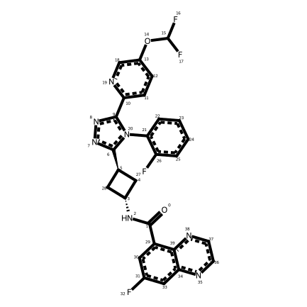 O=C(N[C@H]1C[C@H](c2nnc(-c3ccc(OC(F)F)cn3)n2-c2ccccc2F)C1)c1cc(F)cc2nccnc12